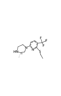 CCSc1nc(N2CCN[C@@H](C)C2)ccc1C(F)(F)F